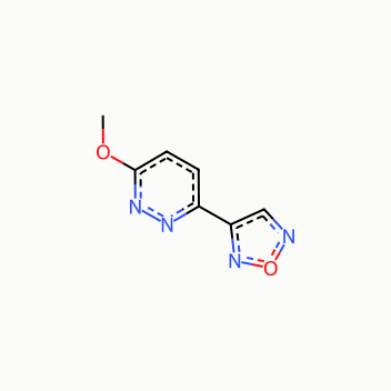 COc1ccc(-c2cnon2)nn1